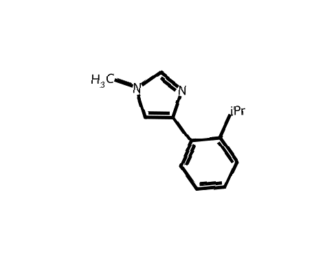 CC(C)c1ccccc1-c1cn(C)cn1